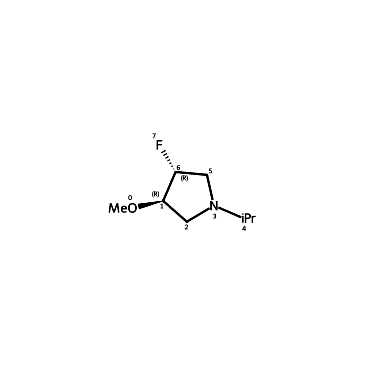 CO[C@@H]1CN(C(C)C)C[C@H]1F